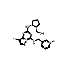 CCc1cnn2c(NCc3ccc[n+]([O-])c3)nc(N[C@H]3CCC[C@H]3CO)nc12